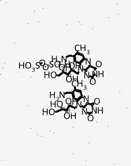 Cc1cc2nc3c(=O)[nH]c(=O)nc-3n(C[C@@H](O)[C@@H](O)[C@@H](O)CO)c2cc1CN.Cc1cc2nc3c(=O)[nH]c(=O)nc-3n(C[C@@H](O)[C@@H](O)[C@@H](O)CO)c2cc1CN.O=S(=O)(O)OOS(=O)(=O)O